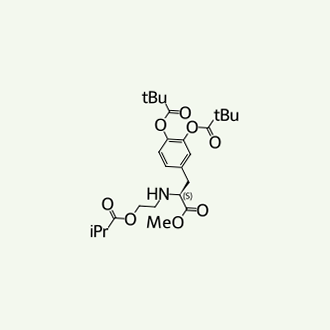 COC(=O)[C@H](Cc1ccc(OC(=O)C(C)(C)C)c(OC(=O)C(C)(C)C)c1)NCCOC(=O)C(C)C